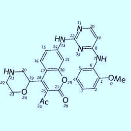 COc1ccccc1Nc1ccnc(Nc2ccc3c(C4CNCCO4)c(C(C)=O)c(=O)oc3c2)n1